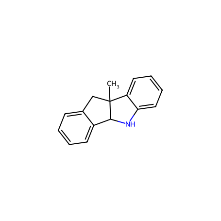 CC12Cc3ccccc3C1Nc1ccccc12